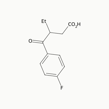 CCC(CC(=O)O)C(=O)c1ccc(F)cc1